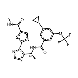 CNC(=O)c1cnc(-n2ncnc2[C@H](C)NC(=O)c2cc(OC(F)(F)F)cc(C3CC3)c2)s1